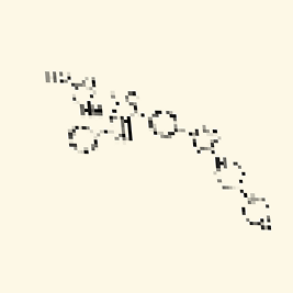 O=C(O)CNc1ccccc1C(=O)C1(NC(=O)c2ccc(-c3csc(N4CCC(N5CCOCC5)CC4)n3)cc2)CCCCC1